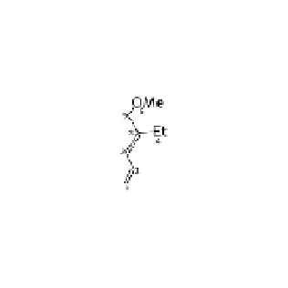 C=C/C=C(\CC)COC